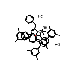 Cc1cc(C)cc(-c2ccc(-c3cc(C)cc(C)c3)c3c2C=C(Cc2ccccc2)[CH]3[Zr]([CH3])([CH3])(=[SiH2])[CH]2C(Cc3ccccc3)=Cc3c(-c4cc(C)cc(C)c4)ccc(-c4cc(C)cc(C)c4)c32)c1.Cl.Cl